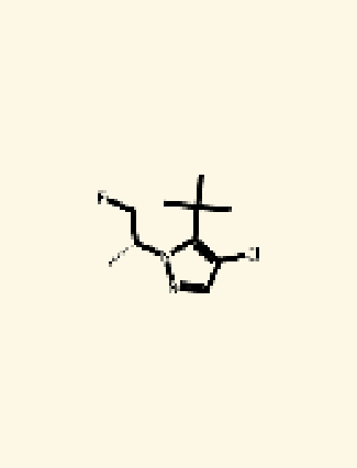 C[C@H](CF)n1ncc(Cl)c1C(C)(C)C